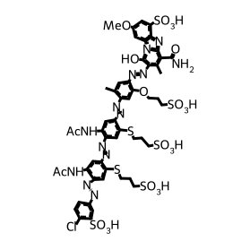 COc1cc(S(=O)(=O)O)c2nc3c(C(N)=O)c(C)c(N=Nc4cc(C)c(N=Nc5cc(NC(C)=O)c(N=Nc6cc(NC(C)=O)c(N=Nc7ccc(Cl)c(S(=O)(=O)O)c7)cc6SCCCS(=O)(=O)O)cc5SCCCS(=O)(=O)O)cc4OCCCS(=O)(=O)O)c(O)n3c2c1